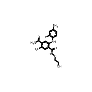 Bc1ccc(Nc2cc(C(N)=O)c(C)cc2C(=O)NOCCO)c(F)c1